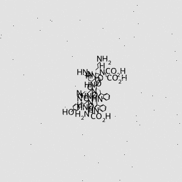 NCCCC[C@@H](NC(=O)[C@H](Cc1c[nH]cn1)NC(=O)[C@H](Cc1c[nH]c2ccccc12)NC(=O)[C@@H](Cc1c[nH]cn1)NC(=O)[C@H](Cc1c[nH]c2ccccc12)NC(=O)[C@H](Cc1ccc(O)cc1)NC(=O)[C@@H](N)CC(=O)O)C(=O)N[C@@H](CC(=O)O)C(=O)O